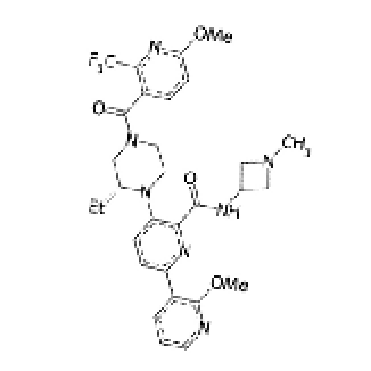 CC[C@@H]1CN(C(=O)c2ccc(OC)nc2C(F)(F)F)CCN1c1ccc(-c2cccnc2OC)nc1C(=O)NC1CN(C)C1